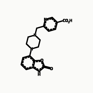 O=C(O)c1ccc(CN2CCN(c3cccc4[nH]c(=O)oc34)CC2)nc1